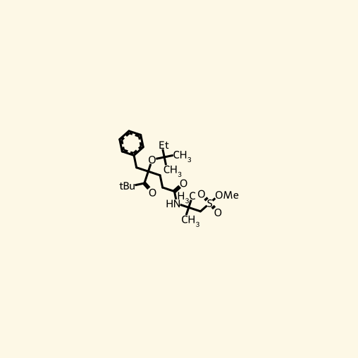 CCC(C)(C)OC(CCC(=O)NC(C)(C)CS(=O)(=O)OC)(Cc1ccccc1)C(=O)C(C)(C)C